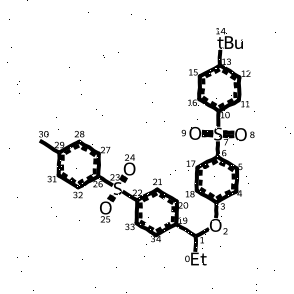 CCC(Oc1ccc(S(=O)(=O)c2ccc(C(C)(C)C)cc2)cc1)c1ccc(S(=O)(=O)c2ccc(C)cc2)cc1